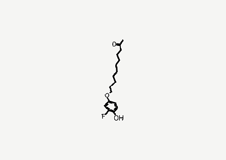 CC(=O)CCCCCCCCCOc1ccc(O)c(F)c1